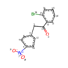 O=C(Cc1ccc([N+](=O)[O-])cc1)c1ccccc1Br